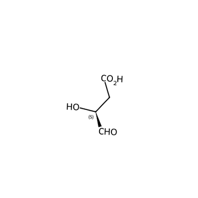 O=C[C@@H](O)CC(=O)O